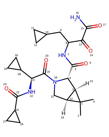 CC1(C)[C@@H]2[C@@H](C(=O)NC(CC3CC3)C(=O)C(N)=O)N(C(=O)[C@@H](NC(=O)C3CC3)C3CC3)C[C@@H]21